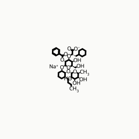 CCCC[C@H]1CCC[C@@H](O[C@@H]2O[C@H](CO)[C@H](O)[C@H](O[C@@H](CC3CCCCC3)C(=O)[O-])[C@H]2OC(=O)c2ccccc2)[C@@H]1O[C@@H]1O[C@@H](C)[C@@H](O)[C@@H](O)[C@@H]1O.[Na+]